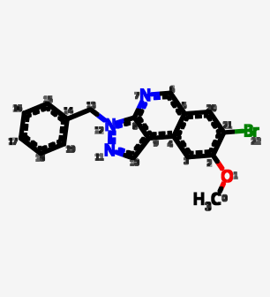 COc1cc2c(cnc3c2cnn3Cc2ccccc2)cc1Br